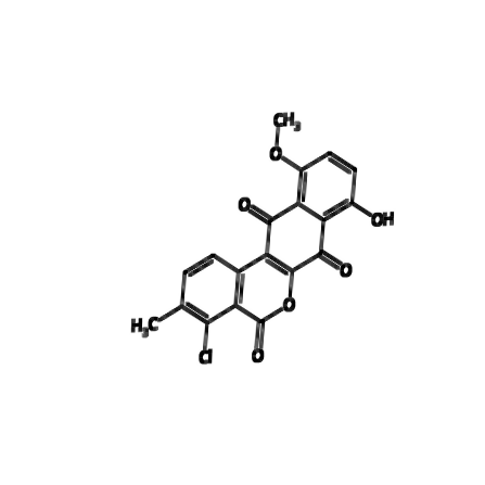 COc1ccc(O)c2c1C(=O)c1c(oc(=O)c3c(Cl)c(C)ccc13)C2=O